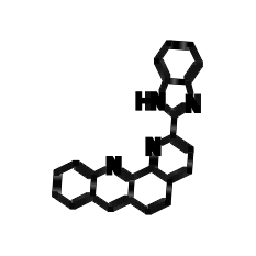 c1ccc2nc3c(ccc4ccc(-c5nc6ccccc6[nH]5)nc43)cc2c1